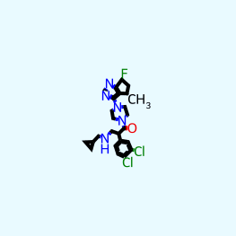 C[C@@H]1C[C@@H](F)c2ncnc(N3CCN(C(=O)C(CNCC4CC4)c4ccc(Cl)c(Cl)c4)CC3)c21